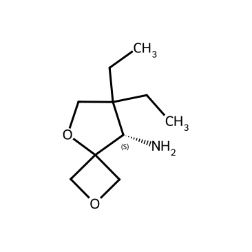 CCC1(CC)COC2(COC2)[C@H]1N